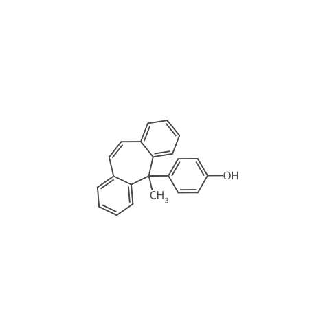 CC1(c2ccc(O)cc2)c2ccccc2C=Cc2ccccc21